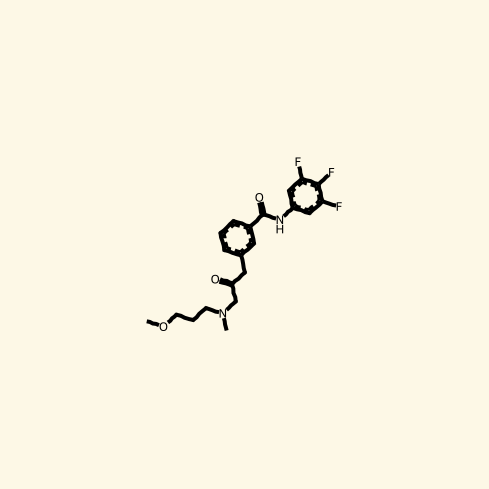 COCCCN(C)CC(=O)Cc1cccc(C(=O)Nc2cc(F)c(F)c(F)c2)c1